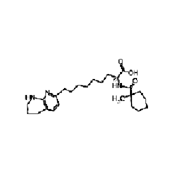 CC1(C(=O)N[C@@H](CCCCCCCc2ccc3c(n2)NCCC3)C(=O)O)CCCCC1